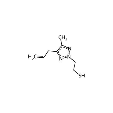 C=CCc1nn(CCS)nc1C